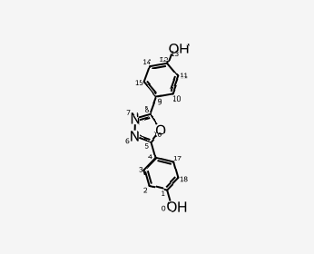 Oc1ccc(-c2nnc(-c3ccc(O)cc3)o2)cc1